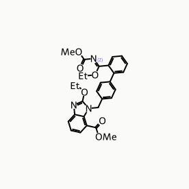 CCO/C(=N\C(=O)OC)c1ccccc1-c1ccc(Cn2c(OCC)nc3cccc(C(=O)OC)c32)cc1